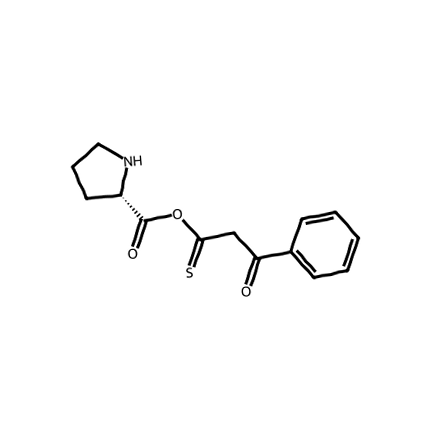 O=C(CC(=S)OC(=O)[C@@H]1CCCN1)c1ccccc1